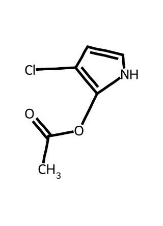 CC(=O)Oc1[nH]ccc1Cl